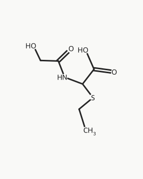 CCSC(NC(=O)CO)C(=O)O